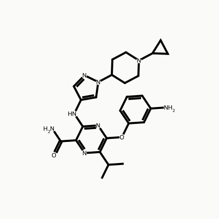 CC(C)c1nc(C(N)=O)c(Nc2cnn(C3CCN(C4CC4)CC3)c2)nc1Oc1cccc(N)c1